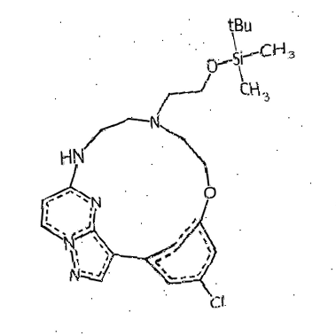 CC(C)(C)[Si](C)(C)OCCN1CCNc2ccn3ncc(c3n2)-c2cc(Cl)cc(c2)OCC1